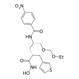 CCOCOC[C@H](C[C@H](Cc1ccsc1)C(=O)NO)NC(=O)c1ccc([N+](=O)[O-])cc1